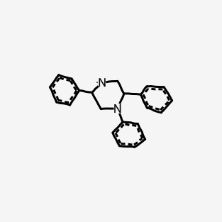 c1ccc(C2CN(c3ccccc3)C(c3ccccc3)C[N]2)cc1